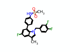 Cc1cn(Cc2ccc(F)c(F)c2)c2c(-c3ccc(NS(C)(=O)=O)cc3)cc(F)cc12